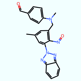 Cc1cc(CN(C)c2ccc(C=O)cc2)c(N=O)c(-n2nc3ccccc3n2)c1